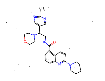 Cc1ncc(C(CNC(=O)c2cccc3nc(N4CCCCC4)ccc23)N2CCOCC2)cn1